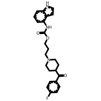 O=C(Nc1cccc2[nH]ccc12)OCCCN1CCC(C(=O)c2ccc(F)cc2)CC1